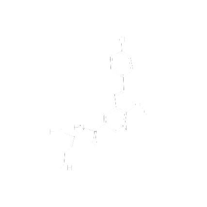 COc1ncc(C(=O)NC(C)CCO)cc1C=Cc1ccc(Cl)cc1